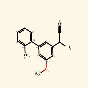 C#CC(C)c1cc(OC)cc(-c2ccccc2C)c1